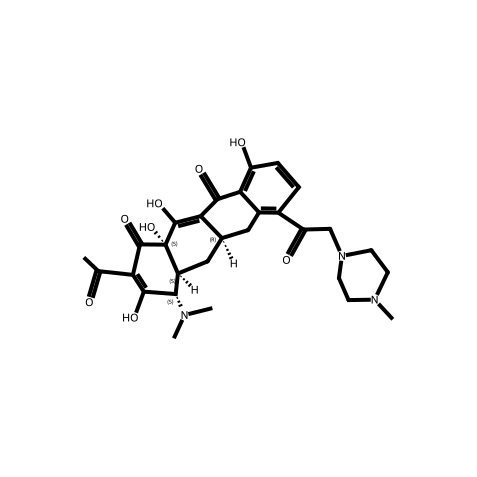 CC(=O)C1=C(O)[C@@H](N(C)C)[C@@H]2C[C@@H]3Cc4c(C(=O)CN5CCN(C)CC5)ccc(O)c4C(=O)C3=C(O)[C@]2(O)C1=O